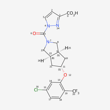 O=C(O)c1ccn(C(=O)N2C[C@H]3C[C@H](Oc4cc(Cl)ccc4C(F)(F)F)C[C@H]3C2)n1